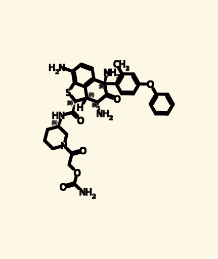 Cc1cc(Oc2ccccc2)ccc1[C@]1(N)C(=O)[C@H](N)[C@H]2c3c1ccc(N)c3S[C@H]2C(=O)N[C@@H]1CCCN(C(=O)COC(N)=O)C1